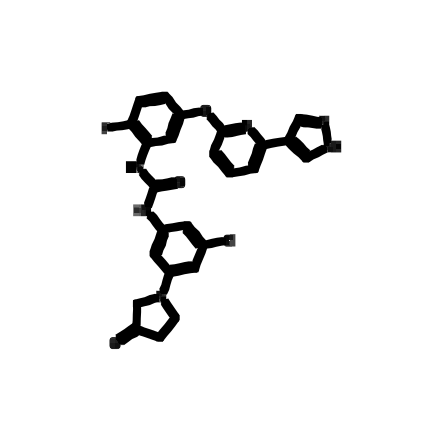 O=C1CCN(c2cc(Cl)cc(NC(=O)Nc3cc(Oc4cccc(-c5cn[nH]c5)n4)ccc3F)c2)C1